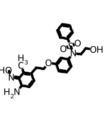 CC1=C(CCOc2cccc(N(CCO)S(=O)(=O)c3ccccc3)c2)C=CC(N)C1=NO